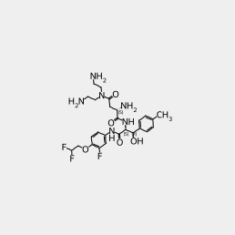 Cc1ccc([C@@H](O)[C@H](NC(=O)[C@@H](N)CC(=O)N(CCN)CCN)C(=O)Nc2ccc(OCC(F)F)c(F)c2)cc1